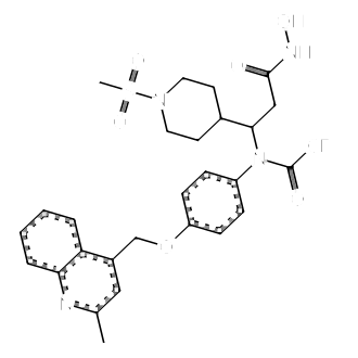 Cc1cc(COc2ccc(N(C(=O)C(F)(F)F)C(CC(=O)NO)C3CCN(S(C)(=O)=O)CC3)cc2)c2ccccc2n1